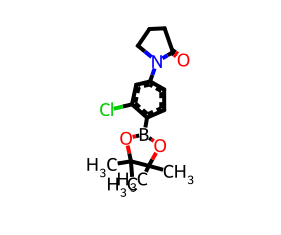 CC1(C)OB(c2ccc(N3CCCC3=O)cc2Cl)OC1(C)C